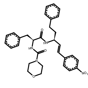 O=C(N[C@H](/C=C/c1ccc([N+](=O)[O-])cc1)CCc1ccccc1)[C@H](Cc1ccccc1)NC(=O)N1CCOCC1